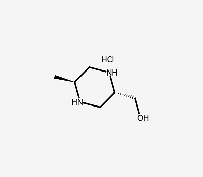 C[C@H]1CN[C@H](CO)CN1.Cl